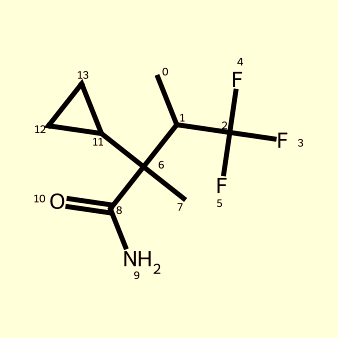 CC(C(F)(F)F)C(C)(C(N)=O)C1CC1